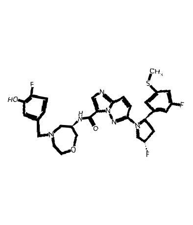 CSc1cc(F)cc([C@H]2C[C@H](F)CN2c2ccc3ncc(C(=O)N[C@H]4COCCN(Cc5ccc(F)c(O)c5)C4)n3n2)c1